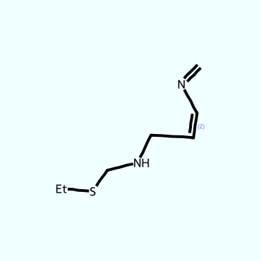 C=N/C=C\CNCSCC